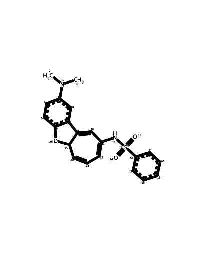 CN(C)c1ccc2c(c1)C1=CC(NS(=O)(=O)c3ccccc3)=CC=CC1O2